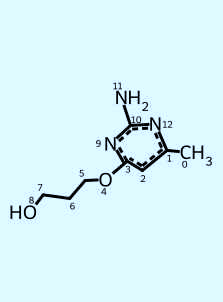 Cc1cc(OCCCO)nc(N)n1